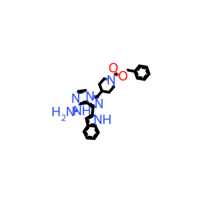 NNc1nccn2c(C3CCN(C(=O)OCc4ccccc4)CC3)nc(-c3cc4ccccc4[nH]3)c12